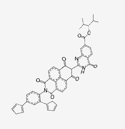 CC(C)C(OC(=O)c1ccc2c(=O)[nH]c(C3C(=O)c4ccc5c6c(ccc(c46)C3=O)C(=O)N(c3ccc(C4=CCC=C4)cc3C3=CC=CC3)C5=O)nc2c1)C(C)C